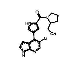 O=C(c1cc(-c2c(Cl)cnc3[nH]ccc23)c[nH]1)N1CCCC1CO